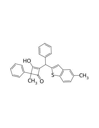 Cc1ccc2sc(C(C3=C(O)C(C)(c4ccccc4)C3=O)c3ccccc3)cc2c1